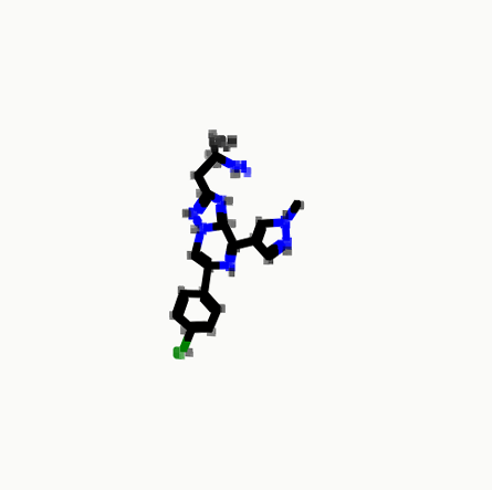 Cn1cc(-c2nc(-c3ccc(Cl)cc3)cn3nc(C[C@H](N)C(=O)O)nc23)cn1